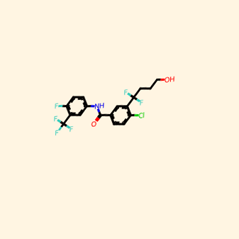 O=C(Nc1ccc(F)c(C(F)(F)F)c1)c1ccc(Cl)c(C(F)(F)CCCO)c1